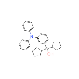 O[Si](c1cccc(N(c2ccccc2)c2ccccc2)c1)(C1CCCC1)C1CCCC1